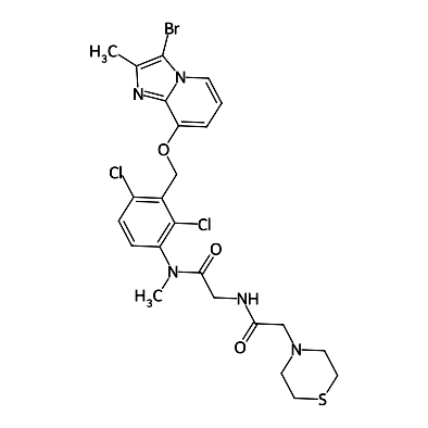 Cc1nc2c(OCc3c(Cl)ccc(N(C)C(=O)CNC(=O)CN4CCSCC4)c3Cl)cccn2c1Br